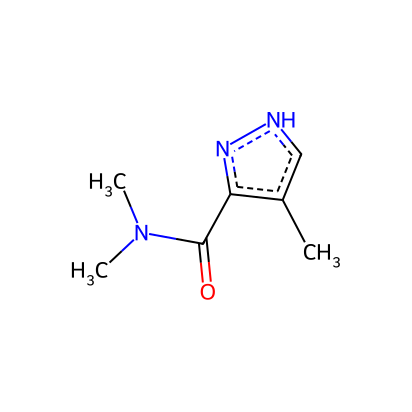 Cc1c[nH]nc1C(=O)N(C)C